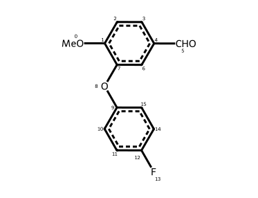 COc1ccc(C=O)cc1Oc1ccc(F)cc1